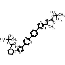 C[C@H](NC(=O)OC(C)(C)C)c1ncc(-c2ccc(-c3ncc(-c4cnc([C@@H]5CCCN5C(=O)OC(C)(C)C)[nH]4)cn3)cc2)[nH]1